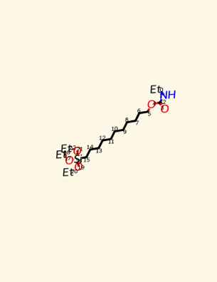 [CH2]CNC(=O)OCCCCCCCCCCC[Si](OCC)(OCC)OCC